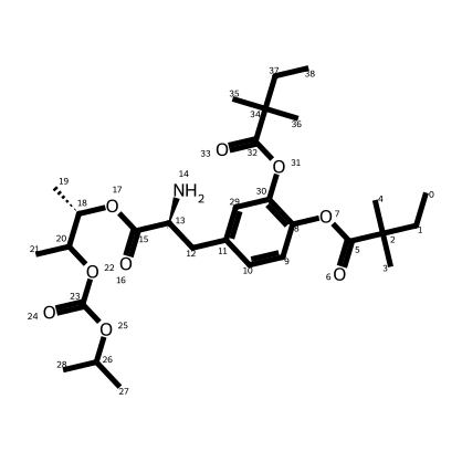 CCC(C)(C)C(=O)Oc1ccc(C[C@H](N)C(=O)O[C@@H](C)C(C)OC(=O)OC(C)C)cc1OC(=O)C(C)(C)CC